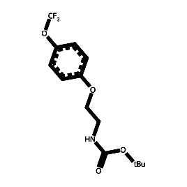 CC(C)(C)OC(=O)NCCOc1ccc(OC(F)(F)F)cc1